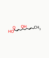 CCC=CCCC(O)CC=CC(=O)O